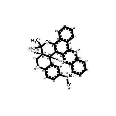 CC1(C)Oc2c(c3nc4ccccc4nc3c3ccccc23)[C@@H]2c3cc([N+](=O)[O-])ccc3OC[C@@H]21